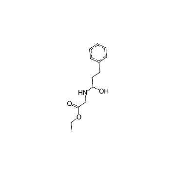 CCOC(=O)CNC(O)CCc1ccccc1